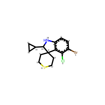 Clc1c(Br)ccc2c1C1(CCSCC1)C(C1CC1)N2